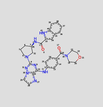 O=C(N[C@@H]1CCCN(c2nc(Nc3ccc(C(=O)N4CCOCC4)cc3)c3nccn3n2)C1)c1cc2ccccc2[nH]1